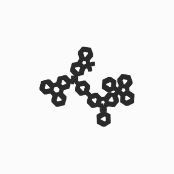 CC1(C)c2ccccc2-c2ccc(N(c3ccc(-c4ccc5c(c4)c4cc(C6(c7ccccc7)c7ccccc7-c7ccccc76)ccc4n5-c4ccccc4)cc3)c3ccc4c5ccccc5c5ccccc5c4c3)cc21